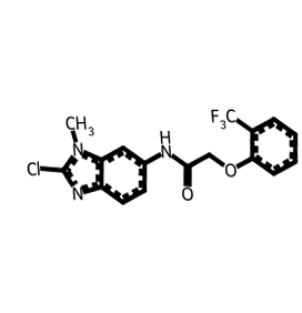 Cn1c(Cl)nc2ccc(NC(=O)COc3ccccc3C(F)(F)F)cc21